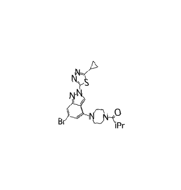 CC(C)C(=O)N1CCN(c2cc(Br)cc3nn(-c4nnc(C5CC5)s4)cc23)CC1